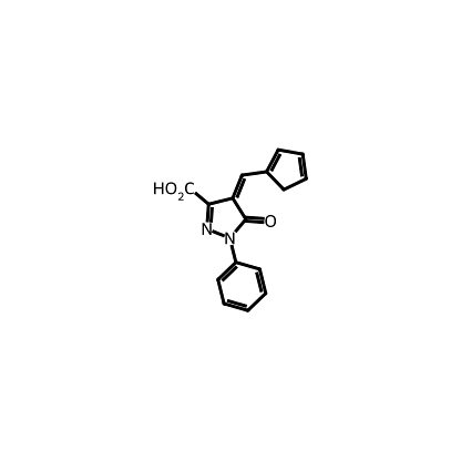 O=C(O)C1=NN(c2ccccc2)C(=O)/C1=C\C1=CC=CC1